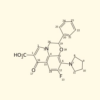 O=C(O)c1cn2c3c(c(N4CCCC4)c(F)cc3c1=O)OC(c1ccccc1)C2